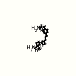 Nc1ncc2ccc(C=CCC3CCC(N4CCc5c(N)ncnc54)C3)cc2n1